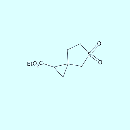 CCOC(=O)C1CC12CCS(=O)(=O)C2